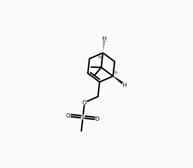 CC1(C)[C@H]2CC=C(COS(C)(=O)=O)[C@H]1C2